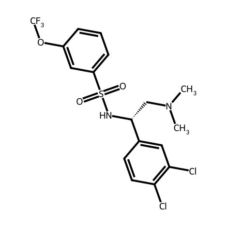 CN(C)C[C@@H](NS(=O)(=O)c1cccc(OC(F)(F)F)c1)c1ccc(Cl)c(Cl)c1